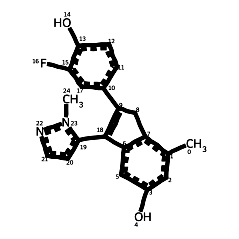 Cc1cc(O)cc2c1CC(c1ccc(O)c(F)c1)=C2c1ccnn1C